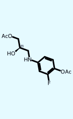 CC(=O)OC[C@H](O)CNc1ccc(OC(C)=O)c(F)c1